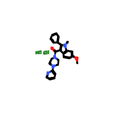 COc1ccc2c(C(=O)N3CCN(c4ccccn4)CC3)c(-c3ccccc3)n(C)c2c1.Cl.Cl